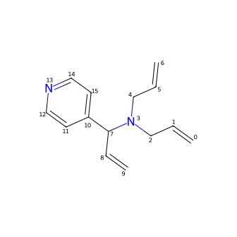 C=CCN(CC=C)C(C=C)c1ccncc1